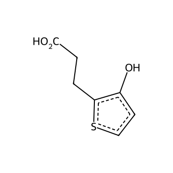 O=C(O)CCc1sccc1O